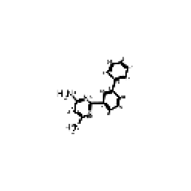 Nc1nc(N)nc(-c2cccc(-c3ccccc3)c2)n1